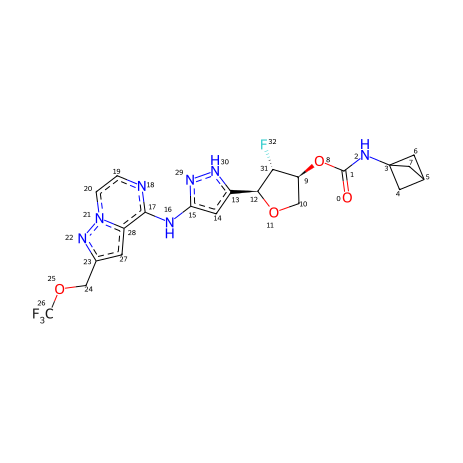 O=C(NC12CC(C1)C2)O[C@H]1CO[C@@H](c2cc(Nc3nccn4nc(COC(F)(F)F)cc34)n[nH]2)[C@@H]1F